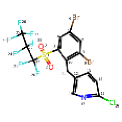 O=S(=O)(c1cc(Br)[c]c(Br)c1Cc1ccc(Cl)nc1)C(F)(F)C(F)(F)C(F)(F)F